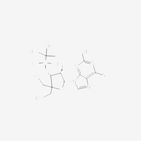 Cc1nc(N)c2ncn([C@@H]3OC(CO)(CO)C(O[Si](C)(C)C(C)(C)C)[C@H]3F)c2n1